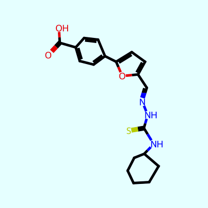 O=C(O)c1ccc(-c2ccc(C=NNC(=S)NC3CCCCC3)o2)cc1